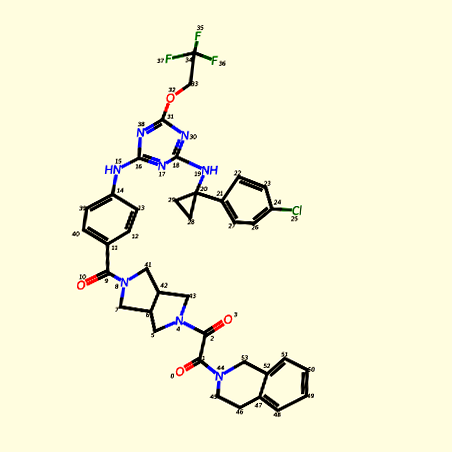 O=C(C(=O)N1CC2CN(C(=O)c3ccc(Nc4nc(NC5(c6ccc(Cl)cc6)CC5)nc(OCC(F)(F)F)n4)cc3)CC2C1)N1CCc2ccccc2C1